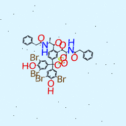 C[C@H](NC(=O)Cc1ccccc1)C(=O)c1ccc2c(c1C(=O)[C@H](C)NC(=O)Cc1ccccc1)S(=O)(=O)OC2(c1cc(Br)c(O)c(Br)c1)c1cc(Br)c(O)c(Br)c1